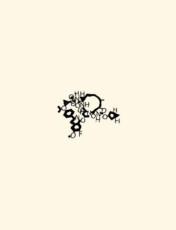 COc1cc2cc(-c3ccc(OC(C)C)cc3)nc(O[C@@H]3C[C@H]4C(=O)N[C@]5(C(=O)NS(=O)(=O)C6CC6)C[C@H]5/C=C\CC[C@@H](C)C[C@@H](C)[C@H](NC(=O)O[C@@H]5C[C@@H]6C[C@@H]6C5)C(=O)N4C3)c2cc1F